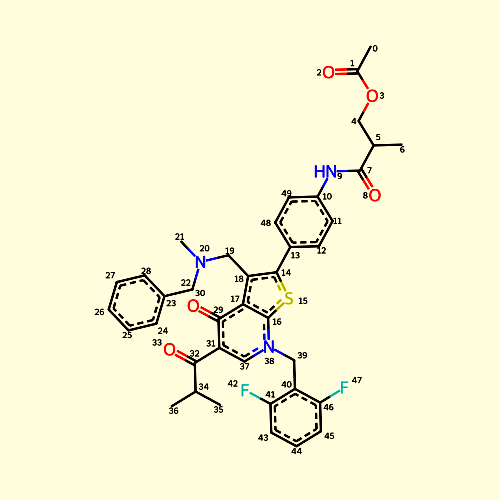 CC(=O)OCC(C)C(=O)Nc1ccc(-c2sc3c(c2CN(C)Cc2ccccc2)c(=O)c(C(=O)C(C)C)cn3Cc2c(F)cccc2F)cc1